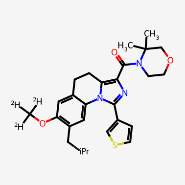 [2H]C([2H])([2H])Oc1cc2c(cc1CC(C)C)-n1c(-c3ccsc3)nc(C(=O)N3CCOCC3(C)C)c1CC2